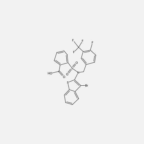 O=C(O)c1ccccc1S(=O)(=O)N(Cc1ccc(F)c(C(F)(F)F)c1)c1sc2ccccc2c1Br